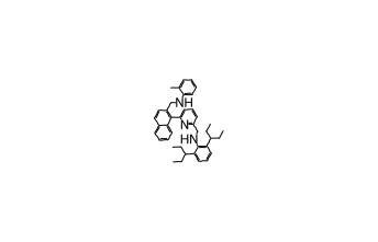 CCC(CC)c1cccc(C(CC)CC)c1NCc1cccc(-c2c(CNc3ccccc3C)ccc3ccccc23)n1